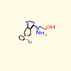 CCSc1ccccc1-c1ccc2c(N(N)CCO)ncnc2c1